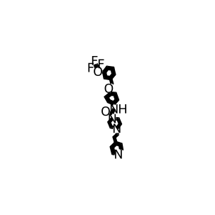 O=C(Nc1ccc(OCc2cccc(OC(F)(F)F)c2)cc1)N1CCN(CCc2ccncc2)CC1